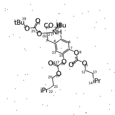 CCC(C)N[C@@](Cc1ccc(OC(=O)OCCC(C)C)c(OC(=O)OCCC(C)C)c1)(OC(=O)OC(C)(C)C)C(=O)O